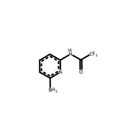 Bc1cccc(NC(=O)C(F)(F)F)n1